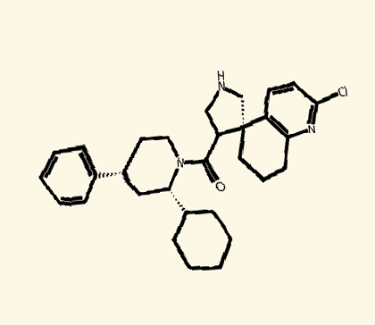 O=C(C1CNC[C@]12CCCc1nc(Cl)ccc12)N1CC[C@@H](c2ccccc2)C[C@H]1C1CCCCC1